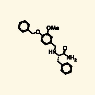 COc1cc(CN[C@@H](Cc2ccccc2)C(N)=O)ccc1OCc1ccccc1